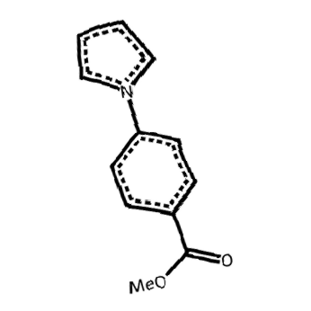 COC(=O)c1ccc(-n2cccc2)cc1